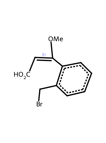 CO/C(=C/C(=O)O)c1ccccc1CBr